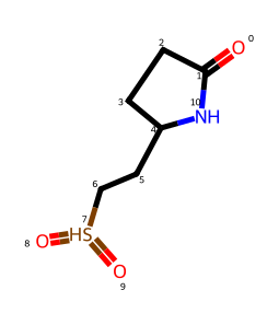 O=C1CCC(CC[SH](=O)=O)N1